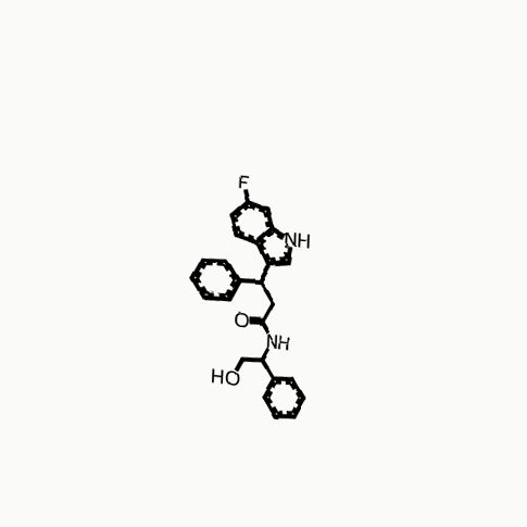 O=C(CC(c1ccccc1)c1c[nH]c2cc(F)ccc12)NC(CO)c1ccccc1